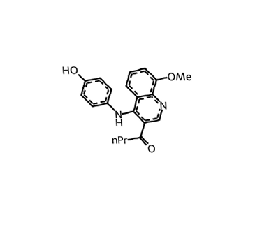 CCCC(=O)c1cnc2c(OC)cccc2c1Nc1ccc(O)cc1